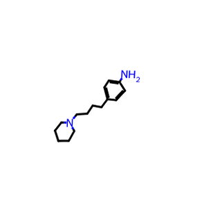 Nc1ccc(CCCCN2CCCCC2)cc1